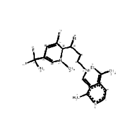 CC/C(C)=c1/ccnc(C)/c1=C/NCCC(CC)C1C(F)=CC(C(F)(F)P)=CN1C